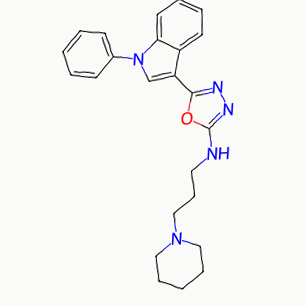 c1ccc(-n2cc(-c3nnc(NCCCN4CCCCC4)o3)c3ccccc32)cc1